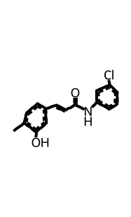 Cc1ccc(C=CC(=O)Nc2cccc(Cl)c2)cc1O